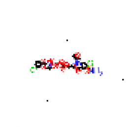 C[C@@H]1N(C(=O)OCOC(=O)C(=O)OCCCOC(=O)c2cc(S(N)(=O)=O)c(Cl)cc2NCc2ccco2)C(C)(C)CO[C@@]1(O)c1cccc(Cl)c1